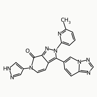 Cc1cccc(-n2nc3c(=O)n(-c4cn[nH]c4)ccc3c2-c2ccc3ncnn3c2)n1